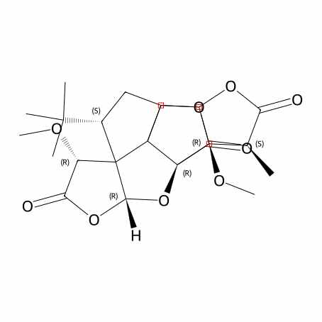 CO[C@H]1C(=O)O[C@H]2O[C@]34C(=O)OC5C[C@@H](C(C)(C)C)C21C53CC1OC(=O)[C@@H](C)[C@@]14OC